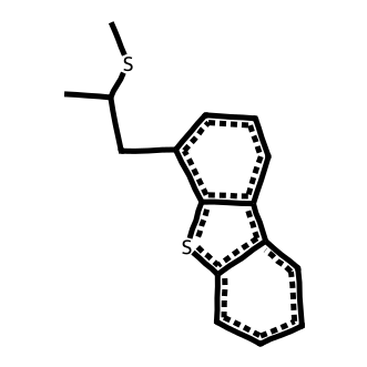 CSC(C)Cc1cccc2c1sc1ccccc12